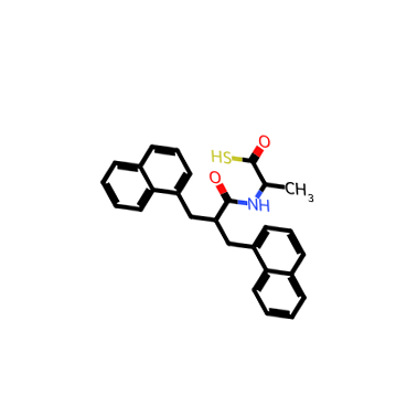 CC(NC(=O)C(Cc1cccc2ccccc12)Cc1cccc2ccccc12)C(=O)S